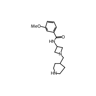 COc1cccc(C(=O)NC2CN(CC3CCNCC3)C2)c1